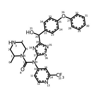 CC1CNCCN1C(=O)N(c1ccnc(C(F)(F)F)c1)c1nc(C(O)c2ccc(Oc3ccccc3)cc2)ns1